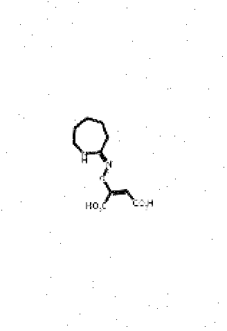 O=C(O)C=C(ON=C1CCCCCN1)C(=O)O